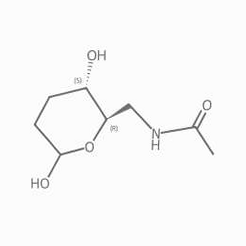 CC(=O)NC[C@H]1OC(O)CC[C@@H]1O